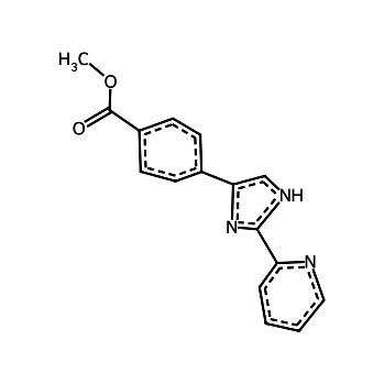 COC(=O)c1ccc(-c2c[nH]c(-c3ccccn3)n2)cc1